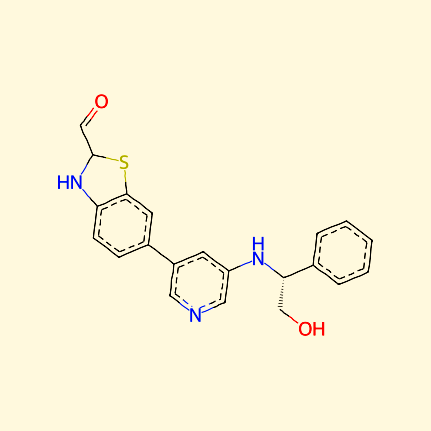 O=CC1Nc2ccc(-c3cncc(N[C@@H](CO)c4ccccc4)c3)cc2S1